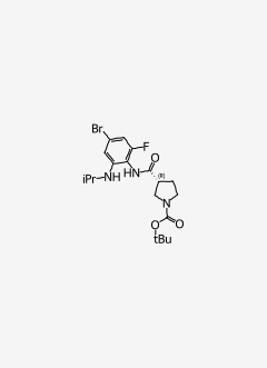 CC(C)Nc1cc(Br)cc(F)c1NC(=O)[C@@H]1CCN(C(=O)OC(C)(C)C)C1